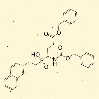 O=C(CCC(NC(=O)OCc1ccccc1)P(=O)(O)CCc1ccc2ccccc2c1)OCc1ccccc1